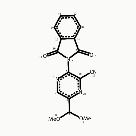 COC(OC)c1cnc(N2C(=O)c3ccccc3C2=O)c(C#N)n1